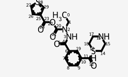 CCN(NC(=O)c1cccc(C(=O)[SH]2CCNCC2)c1)C(=O)OC(=O)c1ccsc1